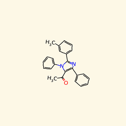 CC(=O)c1c(-c2ccccc2)nc(-c2cccc(C)c2)n1-c1ccccc1